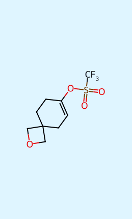 O=S(=O)(OC1=CCC2(CC1)COC2)C(F)(F)F